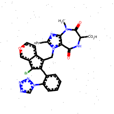 CCCc1nc2c(n1Cc1c3ccocc-3c(Br)c1-c1ccccc1-n1cnnn1)C(=O)NC(C(=O)O)C(=O)N2C